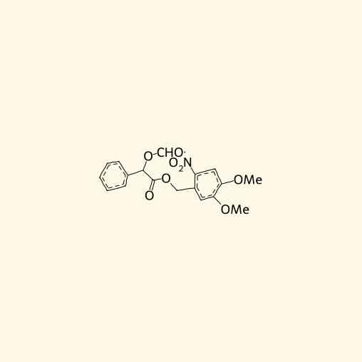 COc1cc(COC(=O)C(O[C]=O)c2ccccc2)c([N+](=O)[O-])cc1OC